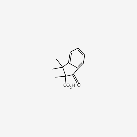 CC1(C(=O)O)C(=O)c2ccccc2C1(C)C